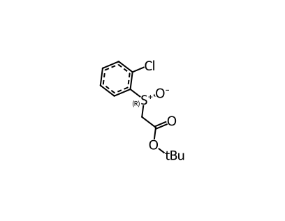 CC(C)(C)OC(=O)C[S@+]([O-])c1ccccc1Cl